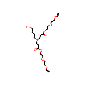 C=COCCOCCOC(=O)CCN(CCCCO)CCC(=O)OCCOCCOC=C